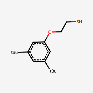 CC(C)(C)c1cc(OCCS)cc(C(C)(C)C)c1